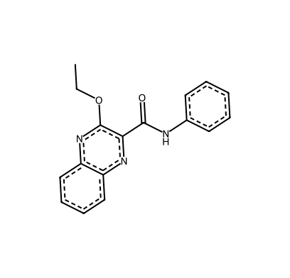 CCOc1nc2ccccc2nc1C(=O)Nc1ccccc1